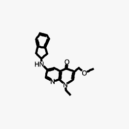 CCn1cc(COC)c(=O)c2cc(NC3Cc4ccccc4C3)cnc21